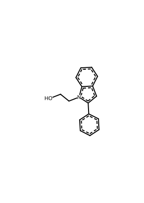 OCCn1c(-c2ccccc2)cc2ccccc21